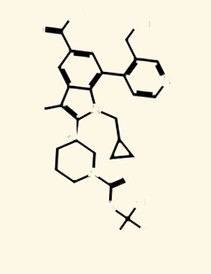 CCc1cnccc1-c1cc(C(=O)O)cc2c(F)c([C@@H]3CCCN(C(=O)OC(C)(C)C)C3)n(CC3CC3)c12